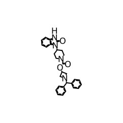 O=C(OC1CN(C(c2ccccc2)c2ccccc2)C1)N1CCC(n2c(=O)[nH]c3ccccc32)CC1